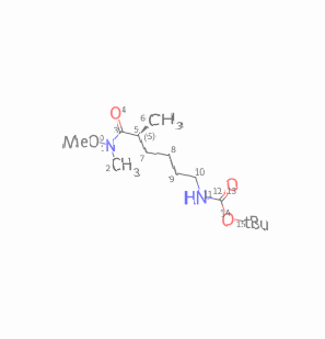 CON(C)C(=O)[C@@H](C)CCCCNC(=O)OC(C)(C)C